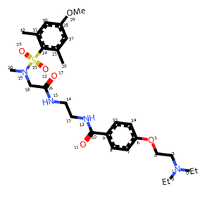 CCN(CC)CCOc1ccc(C(=O)NCCNC(=O)CN(C)S(=O)(=O)c2c(C)cc(OC)cc2C)cc1